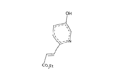 CCOC(=O)C=Cc1ccc(O)cn1